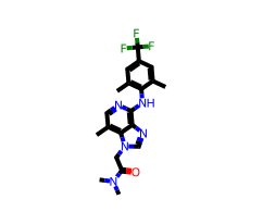 Cc1cc(C(F)(F)F)cc(C)c1Nc1ncc(C)c2c1ncn2CC(=O)N(C)C